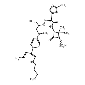 C/N=C/C(=C\NCCCN)C1C=CC(N(C)CC(O/N=C(\C(=O)N[C@@H]2C(=O)N(OS(=O)(=O)O)C2(C)C)c2csc(N)n2)C(=O)O)=CC1